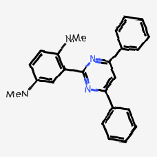 CNc1ccc(NC)c(-c2nc(-c3ccccc3)cc(-c3ccccc3)n2)c1